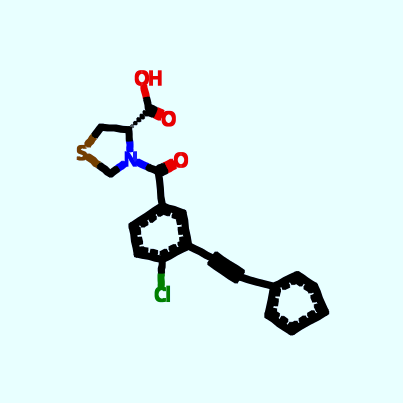 O=C(O)[C@H]1CSCN1C(=O)c1ccc(Cl)c(C#Cc2ccccc2)c1